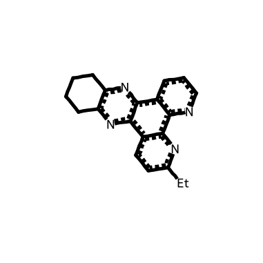 CCc1ccc2c(n1)c1ncccc1c1nc3c(nc21)CCCC3